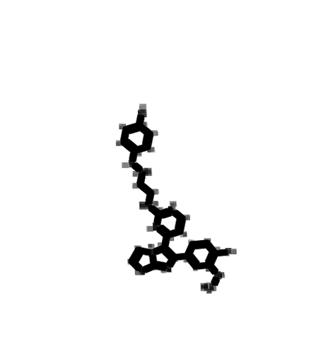 COc1cc(-c2nc3sccn3c2-c2ccnc(NCCNSc3ccc(Cl)cc3)n2)ccc1F